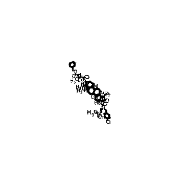 CC(C)C1=C2[C@H]3CC[C@@H]4[C@@]5(C)CC[C@H](OC(=O)[C@H]6C[C@@H](C(=O)OCc7ccccc7)C6(C)C)C(C)(C)[C@@H]5CC[C@@]4(C)[C@]3(C)CC[C@@]2(NC(=O)N(CCN(C)C)Cc2ccc(Cl)cc2)CC1=O